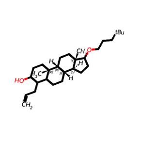 C=CCC1C(O)CC[C@@]2(C)C1CC[C@@H]1[C@H]2CC[C@]2(C)C(OCCCC(C)(C)C)CC[C@@H]12